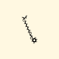 CCC(C)OCCCCCCCCOCCOc1ccccc1